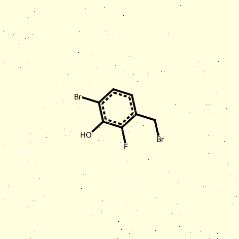 Oc1c(Br)ccc(CBr)c1F